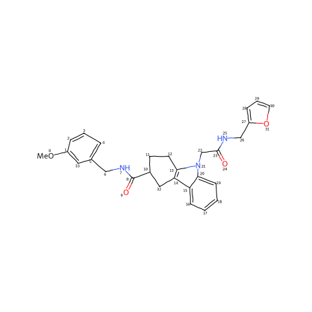 COc1cccc(CNC(=O)C2CCc3c(c4ccccc4n3CC(=O)NCc3ccco3)C2)c1